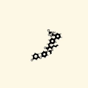 CCCc1nc(C)n(-c2ccc(OC3CCCC(=O)C3)cc2)c(=O)c1Cc1ccc(-c2ccccc2-c2noc(=O)[nH]2)cc1